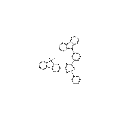 CC1(C)c2ccccc2-c2ccc(-c3nc(-c4ccccc4)nc(-c4cccc(-n5c6ccccc6c6ccccc65)c4)n3)cc21